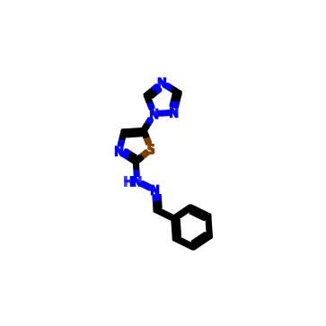 C(=NNc1ncc(-n2cncn2)s1)c1ccccc1